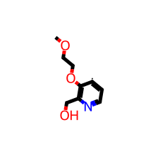 COCCOc1[c]ccnc1CO